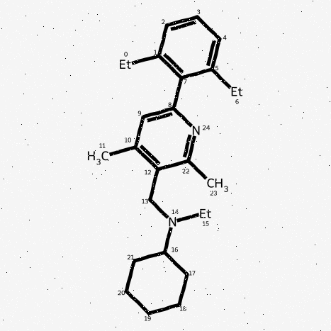 CCc1cccc(CC)c1-c1cc(C)c(CN(CC)C2CCCCC2)c(C)n1